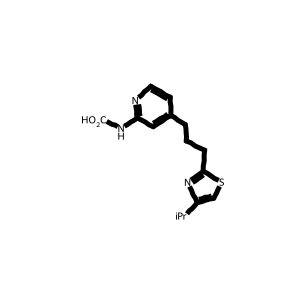 CC(C)c1csc(CCCc2ccnc(NC(=O)O)c2)n1